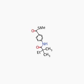 CCC(C)(C)C(=O)Nc1ccc(C(=O)SC)cc1